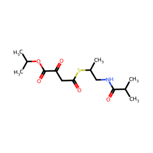 CC(C)OC(=O)C(=O)CC(=O)SC(C)CNC(=O)C(C)C